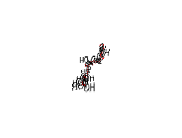 Cc1c(-c2ccc(N3CCc4cccc(C(=O)Nc5nc6ccccc6s5)c4C3)nc2C(=O)O)cnn1CC12CC3(C)CC(C)(C1)CC(OCCNCc1ccc(S(=O)(=O)N[C@@H]4[C@@H](O)[C@H](O)[C@@H](CO)O[C@H]4O)cc1)(C3)C2